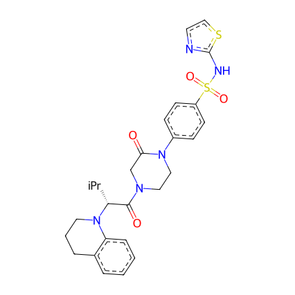 CC(C)[C@H](C(=O)N1CCN(c2ccc(S(=O)(=O)Nc3nccs3)cc2)C(=O)C1)N1CCCc2ccccc21